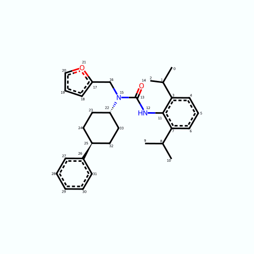 CC(C)c1cccc(C(C)C)c1NC(=O)N(Cc1ccco1)[C@H]1CC[C@H](c2ccccc2)CC1